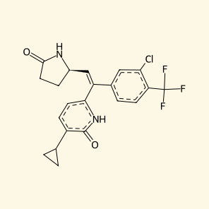 O=C1CC[C@H](C=C(c2ccc(C(F)(F)F)c(Cl)c2)c2ccc(C3CC3)c(=O)[nH]2)N1